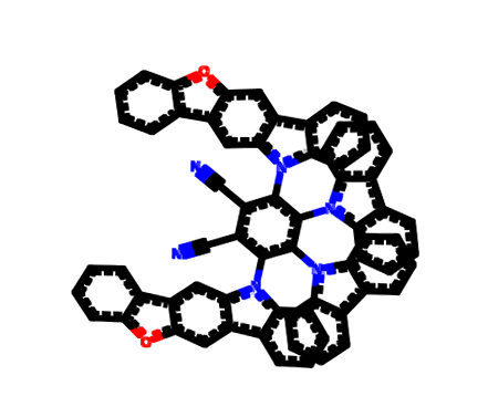 N#Cc1c(C#N)c(-n2c3ccccc3c3cc4oc5ccccc5c4cc32)c(-n2c3ccccc3c3ccccc32)c(-n2c3ccccc3c3ccccc32)c1-n1c2ccccc2c2cc3oc4ccccc4c3cc21